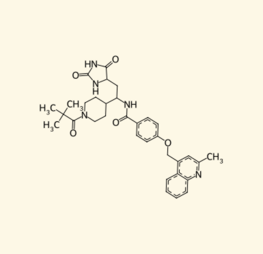 Cc1cc(COc2ccc(C(=O)NC(CC3NC(=O)NC3=O)C3CCN(C(=O)C(C)(C)C)CC3)cc2)c2ccccc2n1